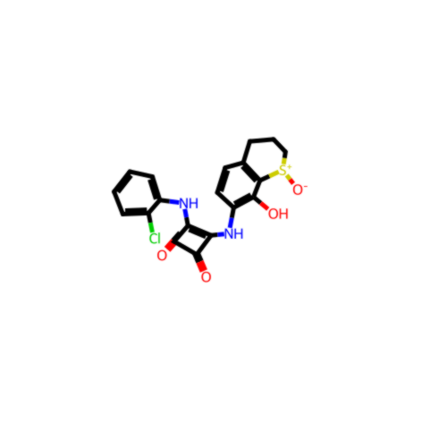 O=c1c(Nc2ccccc2Cl)c(Nc2ccc3c(c2O)[S+]([O-])CCC3)c1=O